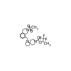 CC(OC(=O)N1CCC2(CCCN2Cc2cccc3c2CN(S(C)(=O)=O)CC3)CC1)C(F)(F)F